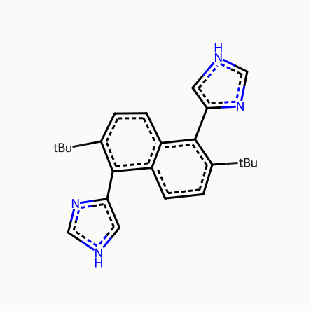 CC(C)(C)c1ccc2c(-c3c[nH]cn3)c(C(C)(C)C)ccc2c1-c1c[nH]cn1